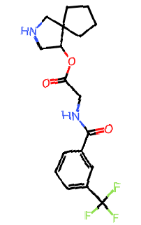 O=C(CNC(=O)c1cccc(C(F)(F)F)c1)OC1CNCC12CCCC2